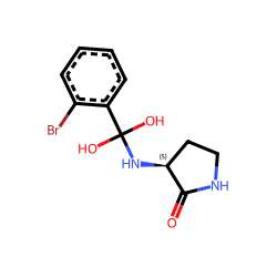 O=C1NCC[C@@H]1NC(O)(O)c1ccccc1Br